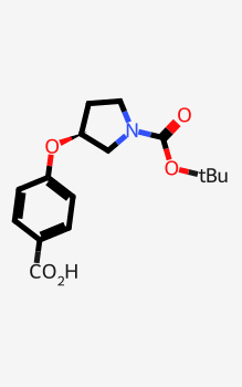 CC(C)(C)OC(=O)N1CC[C@H](Oc2ccc(C(=O)O)cc2)C1